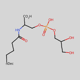 CCCCCCCCCCCCCC(=O)NC(COP(=O)(O)OCC(O)CO)C(=O)O